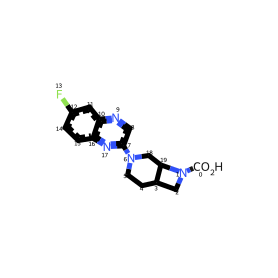 O=C(O)N1CC2CCN(c3cnc4cc(F)ccc4n3)CC21